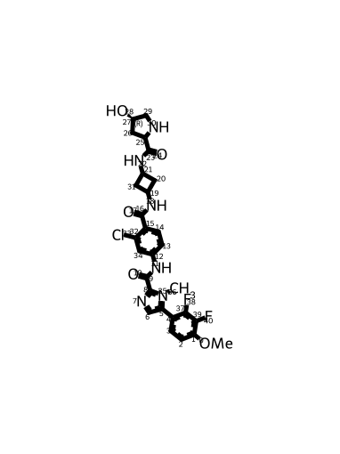 COc1ccc(-c2cnc(C(=O)Nc3ccc(C(=O)NC4CC(NC(=O)C5C[C@@H](O)CN5)C4)c(Cl)c3)n2C)c(F)c1F